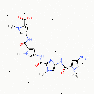 Cn1cc(NC(=O)c2cc(NC(=O)c3nc(NC(=O)c4cc(N)cn4C)cn3C)cn2C)cc1C(=O)O